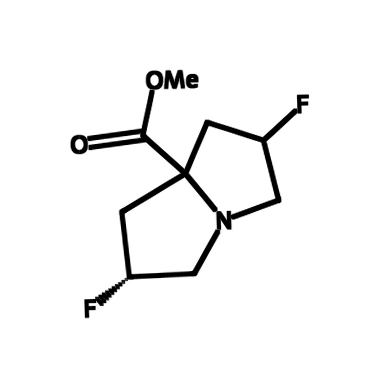 COC(=O)C12CC(F)CN1C[C@H](F)C2